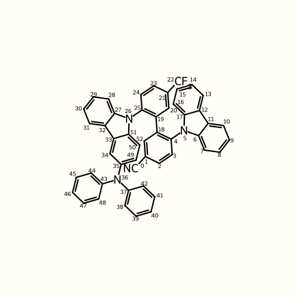 N#Cc1ccc(-n2c3ccccc3c3ccccc32)c(-c2cc(C(F)(F)F)ccc2-n2c3ccccc3c3cc(N(c4ccccc4)c4ccccc4)ccc32)c1